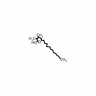 CCCCCCCCCCCCCC=CC(C)=C(C)C(=O)O